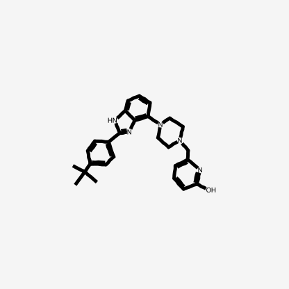 CC(C)(C)c1ccc(-c2nc3c(N4CCN(Cc5cccc(O)n5)CC4)cccc3[nH]2)cc1